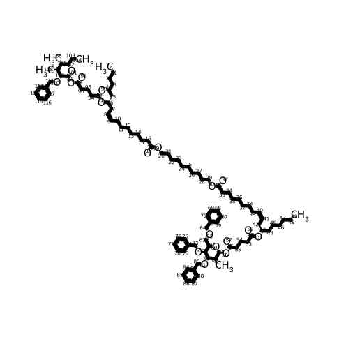 CCCCCC[C@H](C/C=C\CCCCCCCC(=O)OCCCCCCCCCCOC(=O)CCCCCCC/C=C\C[C@@H](CCCCCC)OC(=O)CCCC(=O)O[C@@H]1OC(COCc2ccccc2)[C@H](OCc2ccccc2)[C@H](OCc2ccccc2)C1C)OC(=O)CCCC(=O)O[C@@H]1OC(CC)[C@H](C)[C@H](C)C1OCc1ccccc1